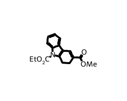 CCOC(=O)n1c2c(c3ccccc31)C=C(C(=O)OC)CC2